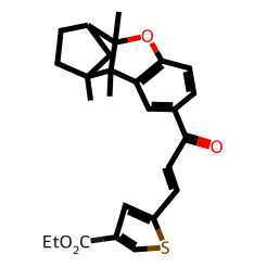 CCOC(=O)c1csc(C=CC(=O)c2ccc3c(c2)C2(C)C4(C)CCC(C4)C2(C)O3)c1